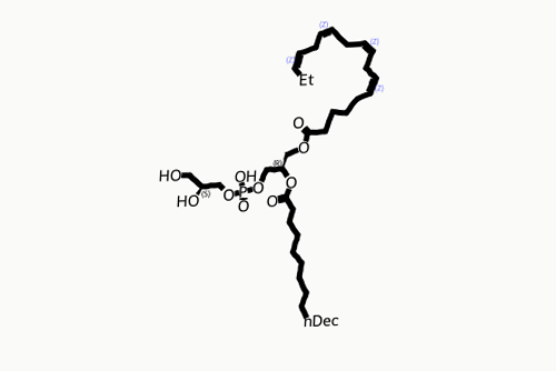 CC/C=C\C/C=C\C/C=C\C/C=C\CCCCC(=O)OC[C@H](COP(=O)(O)OC[C@@H](O)CO)OC(=O)CCCCCCCCCCCCCCCCCC